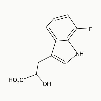 O=C(O)C(O)Cc1c[nH]c2c(F)cccc12